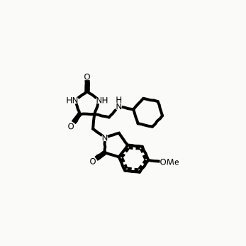 COc1ccc2c(c1)CN(CC1(CNC3CCCCC3)NC(=O)NC1=O)C2=O